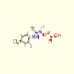 Cc1cc(Cl)ccc1NC(=S)N(C)OCC(=O)O